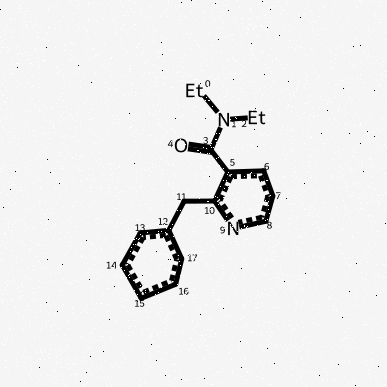 CCN(CC)C(=O)c1cccnc1Cc1ccccc1